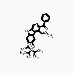 COCc1c(C(=O)c2ccccc2)ncc2[nH]c3ccc(O[Si](C(C)C)(C(C)C)C(C)C)cc3c12